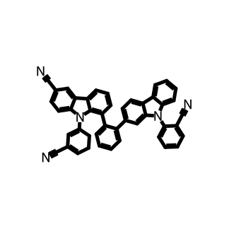 N#CC1=CCCC(n2c3ccc(C#N)cc3c3cccc(-c4ccccc4-c4ccc5c6ccccc6n(-c6ccccc6C#N)c5c4)c32)=C1